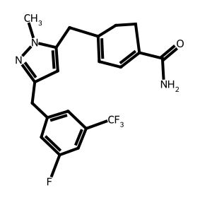 Cn1nc(Cc2cc(F)cc(C(F)(F)F)c2)cc1CC1=CC=C(C(N)=O)CC1